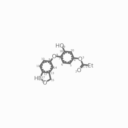 CCC(=O)Oc1ccc(Oc2ccc3c(c2)COB3)c(O)c1